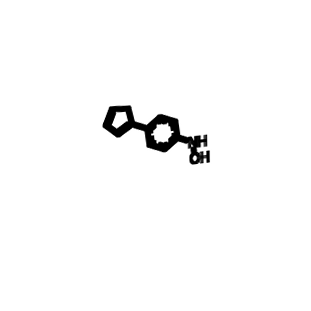 ONc1ccc(C2=CC=CC2)cc1